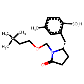 Cc1ccc(S(=O)(=O)O)c(C[C@@H]2CCC(=O)N2COCC[Si](C)(C)C)c1